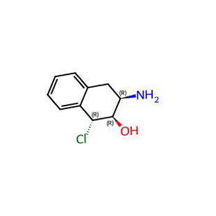 N[C@@H]1Cc2ccccc2[C@@H](Cl)[C@@H]1O